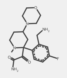 CN1CCC(N2CCOCC2)CC1(C(=O)C(N)=O)c1ccc(F)cc1CN